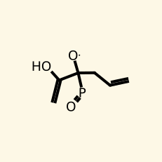 C=CCC([O])(P=O)C(=C)O